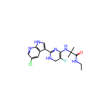 CCNC(=O)C(C)(C)NC1=C(F)CNC(c2c[nH]c3ncc(Cl)cc23)=N1